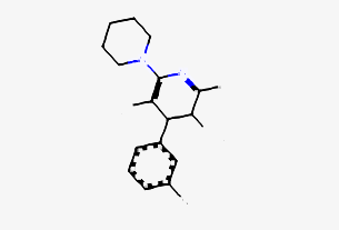 CCOC(=O)C1=C(N2CCCCC2)N=C(C)C(C(=O)OCC)C1c1cccc([N+](=O)[O-])c1